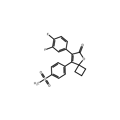 CS(=O)(=O)c1ccc(C2=C(c3ccc(F)c(F)c3)C(=O)OC23CCC3)cc1